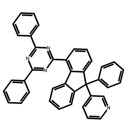 c1ccc(-c2nc(-c3ccccc3)nc(-c3cccc4c3-c3ccccc3C4(c3ccccc3)c3cccnc3)n2)cc1